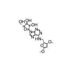 COc1cc(OC)c(CNc2ncnc3c2ncn3[C@@H]2O[C@H](CO)[C@@H](O)[C@@H]2O)o1